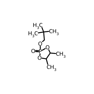 CC1OP(=O)(OCC(C)(C)C)OC1C